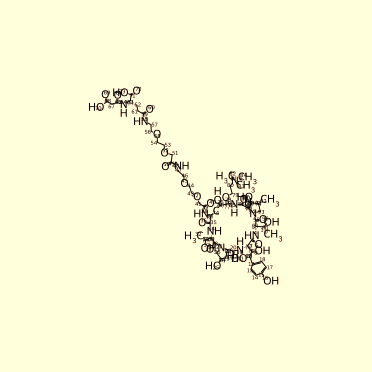 C[C@@H](O)[C@@H]1NC(=O)[C@H]([C@H](O)[C@@H](O)c2ccc(O)cc2)NC(=O)[C@@H]2C[C@@H](O)CN2C(=O)[C@H]([C@@H](C)O)NC(=O)[C@@H](NC(=O)COCCOCCNC(=O)COCCOCCNC(=O)CC[C@H](NC(=O)CC(=O)O)C(=O)O)C[C@@H](O)[C@@H](OCC[N+](C)(C)C)NC(=O)[C@@H]2[C@@H](O)[C@@H](C)CN2C1=O